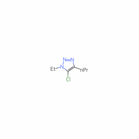 CCCc1nnn(CC)c1Cl